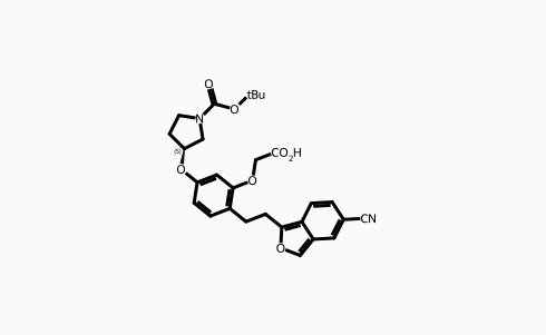 CC(C)(C)OC(=O)N1CC[C@H](Oc2ccc(CCc3occ4cc(C#N)ccc34)c(OCC(=O)O)c2)C1